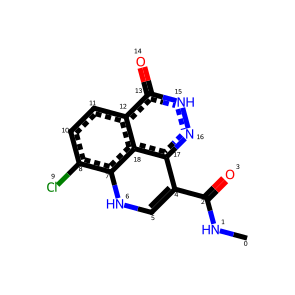 CNC(=O)C1=CNc2c(Cl)ccc3c(=O)[nH]nc1c23